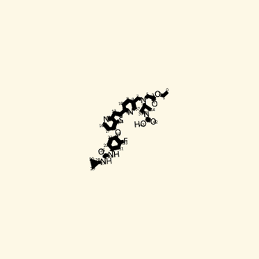 CCOC(=O)CN(Cc1ccc(-c2cc3nccc(Oc4ccc(NC(=O)NC5CC5)cc4F)c3s2)nc1)C1CN(C(=O)O)C1